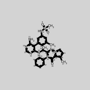 Cc1cc(NS(C)(=O)=O)cc(-c2c(N)ncnc2NC(C)c2nn3ccc(C)c3c(=O)n2-c2ccccc2)c1